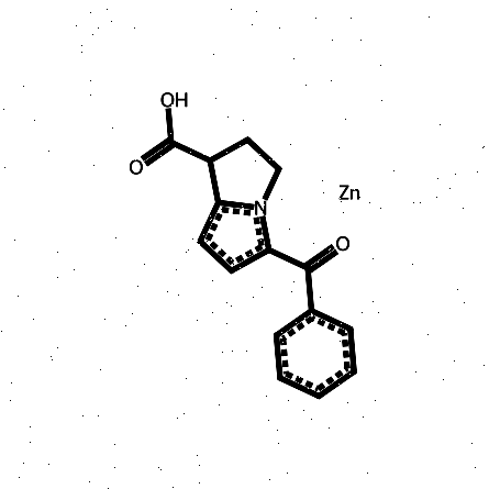 O=C(c1ccccc1)c1ccc2n1CCC2C(=O)O.[Zn]